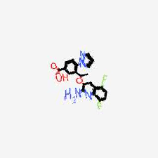 CC(Oc1cc2c(F)ccc(F)c2nc1N)c1cc(C(=O)O)ccc1-n1cccn1